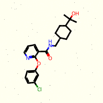 CC(C)(O)C1CCC(CNC(=O)c2cccnc2Oc2cccc(Cl)c2)CC1